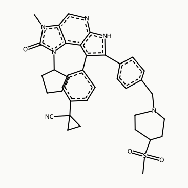 Cn1c(=O)n(C2CCCC2)c2c3c(-c4ccc(C5(C#N)CC5)cc4)c(-c4ccc(CN5CCC(S(C)(=O)=O)CC5)cc4)[nH]c3ncc21